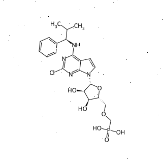 CC(C)[C@@H](Nc1nc(Cl)nc2c1ccn2[C@@H]1O[C@H](COCP(=O)(O)O)[C@@H](O)[C@H]1O)c1ccccc1